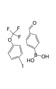 FC(F)(F)Oc1ccc(I)cc1.O=Cc1ccc(B(O)O)cc1